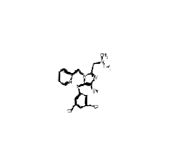 CC(C)c1nc(CN(C)C)n(Cc2ccccn2)c1Sc1cc(Cl)cc(Cl)c1